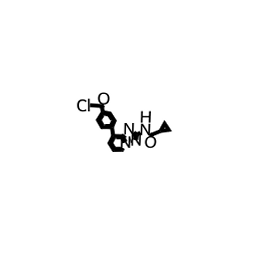 O=C(Cl)c1ccc(-c2cccn3nc(NC(=O)C4CC4)nc23)cc1